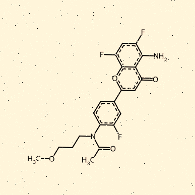 COCCCN(C(C)=O)c1ccc(-c2cc(=O)c3c(N)c(F)cc(F)c3o2)cc1F